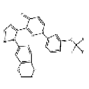 O=c1ccn(-c2cccc(OC(F)(F)F)c2)nc1-c1ccnn1-c1ccc2c(c1)OCCO2